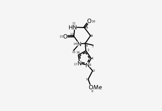 COCCn1cc(C2(C)CC(=O)NC(=O)N2C)cn1